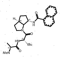 CN[C@@H](C)C(=O)N[C@H](C(=O)N1CC[C@H]2CC[C@H](NC(=O)c3cccc4ccccc34)C21)C(C)(C)C